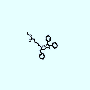 CCOC(=O)CCCCCC(Cc1ccccc1)Cc1nc(-c2ccccc2)c(-c2ccccc2)[nH]1